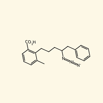 Cc1cccc(C(=O)O)c1CCCC(Cc1ccccc1)N=[N+]=[N-]